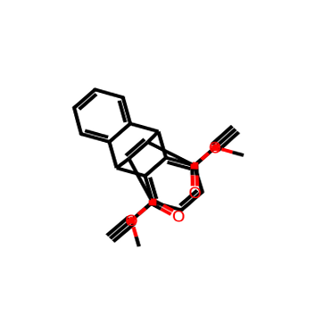 C#Cc1ccc(C#C)c2c1C1C(C(=O)OC)=C(C(=O)OC)C2c2ccccc21